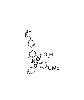 COc1ccc(S(=O)(=O)N(Cc2cccnc2)c2c(C)cc(-c3ccc(C=NO)cc3)cc2OC(=O)O)cc1